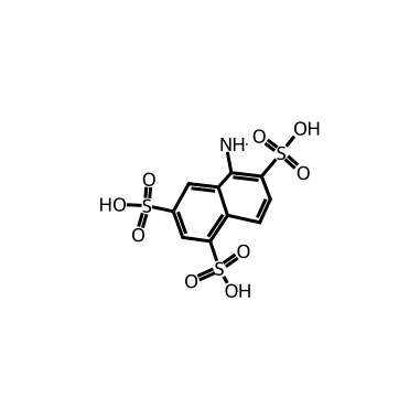 [NH]c1c(S(=O)(=O)O)ccc2c(S(=O)(=O)O)cc(S(=O)(=O)O)cc12